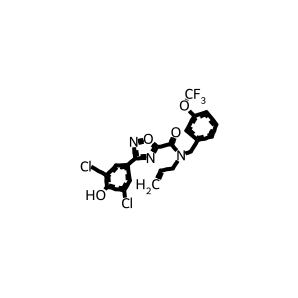 C=CCN(Cc1cccc(OC(F)(F)F)c1)C(=O)c1nc(-c2cc(Cl)c(O)c(Cl)c2)no1